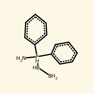 BB[PH](N)(c1ccccc1)c1ccccc1